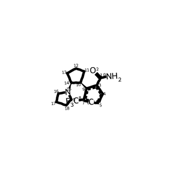 NC(=O)c1cccc(C(F)(F)F)c1[C@@H]1CCC[C@@H]1N1CCCC1